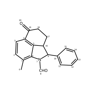 Cc1ccc2c3c1N(C=O)C(c1ccccc1)C3CCC2=O